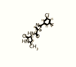 CC1CC(NC(=O)c2cnc(-c3cc(F)cc(Cl)c3)s2)C(=O)N1